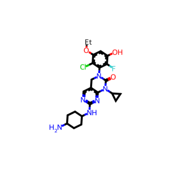 CCOc1cc(O)c(F)c(N2Cc3cnc(NC4CCC(N)CC4)nc3N(C3CC3)C2=O)c1Cl